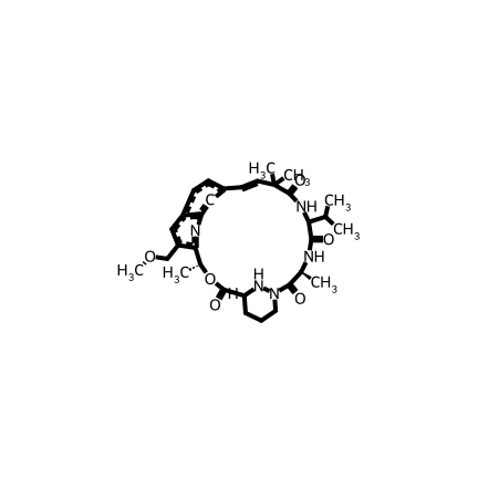 COCc1cc2ccc3cc2nc1[C@@H](C)OC(=O)[C@@H]1CCCN(N1)C(=O)[C@H](C)NC(=O)C(C(C)C)NC(=O)C(C)(C)/C=C/3